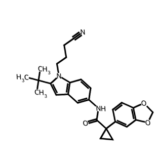 CC(C)(C)c1cc2cc(NC(=O)C3(c4ccc5c(c4)OCO5)CC3)ccc2n1CCCC#N